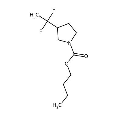 CCCCOC(=O)N1CCC(C(C)(F)F)C1